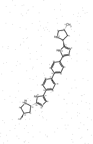 C[C@H]1CN[C@H](c2ncc(-c3ccc(-c4ccc(-c5cnc([C@@H]6C[C@@H](F)CN6)[nH]5)cc4)cc3)[nH]2)C1